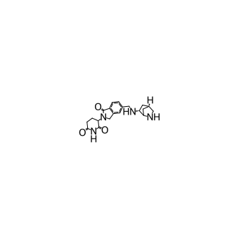 O=C1CCC(N2Cc3cc(CN[C@H]4C[C@@H]5CNC4C5)ccc3C2=O)C(=O)N1